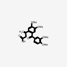 C=C(CC(=O)CCC)c1cc(OC)c(OC)cc1C(=O)c1ccc(OC)c(OC)c1